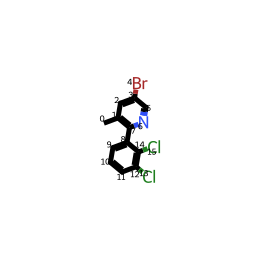 Cc1cc(Br)cnc1-c1cccc(Cl)c1Cl